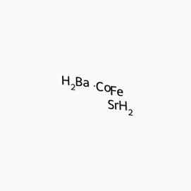 [BaH2].[Co].[Fe].[SrH2]